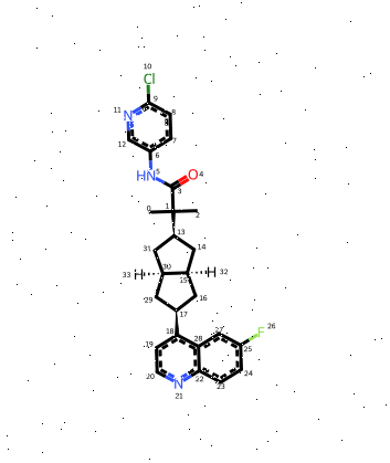 CC(C)(C(=O)Nc1ccc(Cl)nc1)[C@H]1C[C@H]2C[C@@H](c3ccnc4ccc(F)cc34)C[C@H]2C1